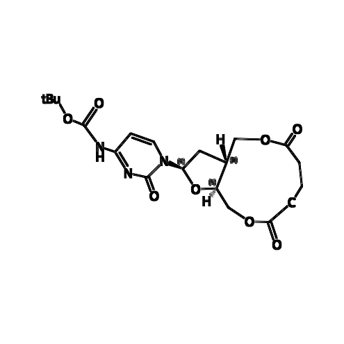 CC(C)(C)OC(=O)Nc1ccn([C@H]2C[C@@H]3COC(=O)CCCC(=O)OC[C@H]3O2)c(=O)n1